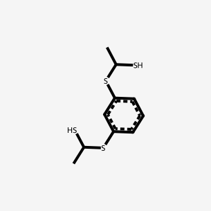 CC(S)Sc1cccc(SC(C)S)c1